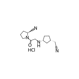 Cl.N#CC[C@H]1CC[C@@H](NCC(=O)N2CCC[C@H]2C#N)C1